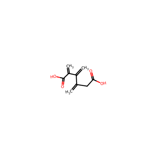 C=C(CC(=O)O)C(=C)C(=C)C(=O)O